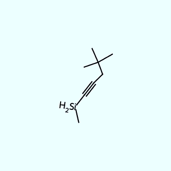 C[SiH2]C#CCC(C)(C)C